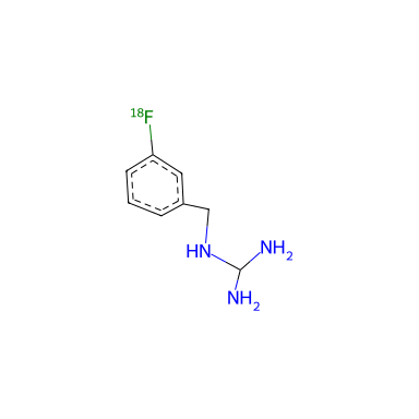 NC(N)NCc1cccc([18F])c1